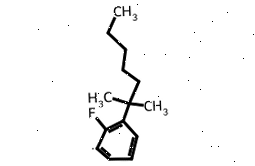 CCCCCC(C)(C)c1ccc[c]c1F